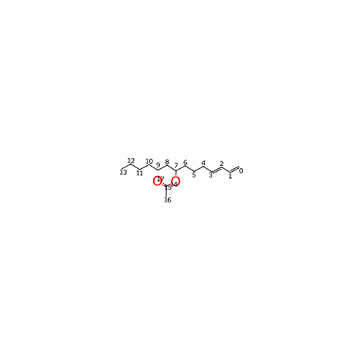 C=CC=CCCCC(CCCCCC)OC(C)=O